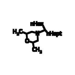 CCCCCCCC(CCCCCC)N1CC(C)OC(C)C1